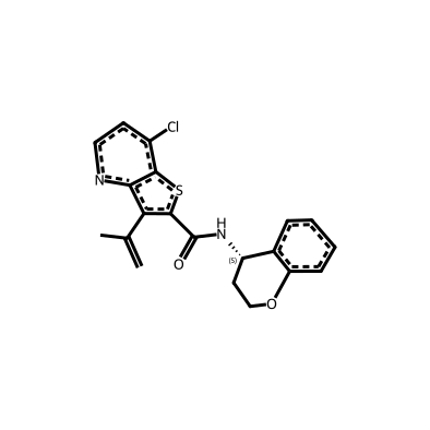 C=C(C)c1c(C(=O)N[C@H]2CCOc3ccccc32)sc2c(Cl)ccnc12